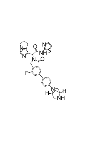 O=C(Nc1nccs1)C(c1ncn2c1CCC2)N1Cc2c(F)cc(-c3ccc(N4C[C@H]5C[C@@H]4CN5)cc3)cc2C1=O